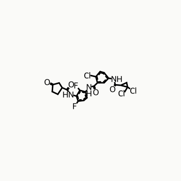 O=C1CCC(C(=O)Nc2c(F)ccc(NC(=O)c3cc(NC(=O)C4CC4(Cl)Cl)ccc3Cl)c2F)C1